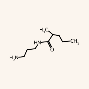 CCCC(C)C(=O)NCCCN